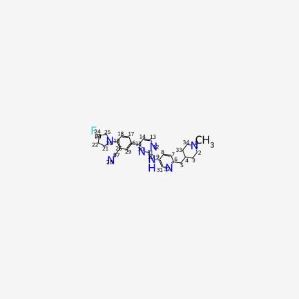 CN1CCC(Cc2ccc(Nc3nccc(-c4ccc(N5CC[C@H](F)C5)c(C#N)c4)n3)cn2)CC1